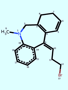 CN1CC2=C(C=CCC2)C(=CCCBr)c2ccccc21